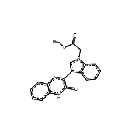 CC(C)(C)OC(=O)Cn1cc(-c2nc3ccccc3[nH]c2=O)c2ccccc21